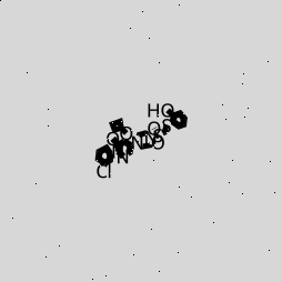 O=c1c(OC2CCC2)c(N2CCN(S(=O)(=O)CSc3ccccc3O)CC2)cnn1-c1cccc(Cl)c1